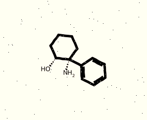 N[C@@]1(c2ccccc2)CCCC[C@H]1O